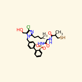 CCCCc1nc(Cl)c(CO)n1Cc1ccc(-c2ccccc2S(=O)(=O)NC(=O)CNC(=O)C(C)CS)cc1